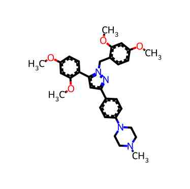 COc1ccc(Cn2nc(-c3ccc(N4CCN(C)CC4)cc3)cc2-c2ccc(OC)cc2OC)c(OC)c1